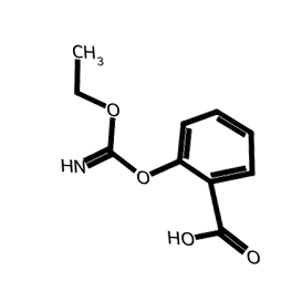 CCOC(=N)Oc1ccccc1C(=O)O